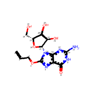 C=CCOc1nc2c(=O)[nH]c(N)nc2n1[C@@H]1O[C@H](CO)C(O)C1O